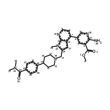 COC(=O)c1cc(-c2ccnc3c2cc(CN2CCC(c4ccc(C(=O)N(C)C)cc4)CC2)n3C)cnc1N